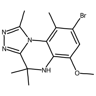 COc1cc(Br)c(C)c2c1NC(C)(C)c1nnc(C)n1-2